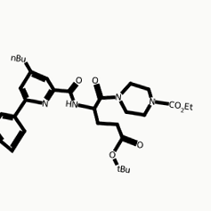 CCCCc1cc(C(=O)NC(CCC(=O)OC(C)(C)C)C(=O)N2CCN(C(=O)OCC)CC2)nc(-c2ccccc2)c1